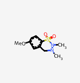 COc1ccc2c(c1)CN(C)N(C)S2(=O)=O